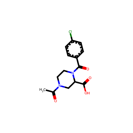 CC(=O)N1CCN(C(=O)c2ccc(Cl)cc2)C(C(=O)O)C1